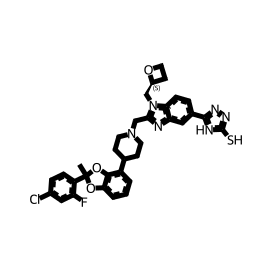 CC1(c2ccc(Cl)cc2F)Oc2cccc(C3CCN(Cc4nc5cc(-c6nnc(S)[nH]6)ccc5n4C[C@@H]4CCO4)CC3)c2O1